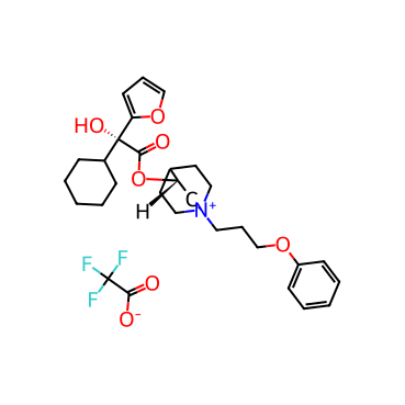 O=C(O[C@H]1C[N+]2(CCCOc3ccccc3)CCC1CC2)[C@](O)(c1ccco1)C1CCCCC1.O=C([O-])C(F)(F)F